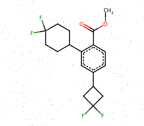 COC(=O)c1ccc(C2CC(F)(F)C2)cc1C1CCC(F)(F)CC1